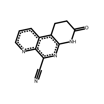 N#Cc1nc2c(c3cccnc13)CCC(=O)N2